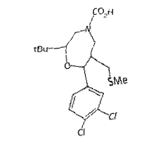 CSCC1CN(C(=O)O)CC(C(C)(C)C)OC1c1ccc(Cl)c(Cl)c1